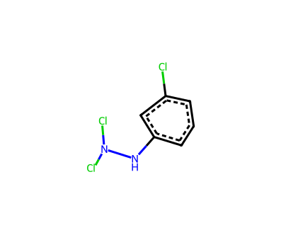 Clc1cccc(NN(Cl)Cl)c1